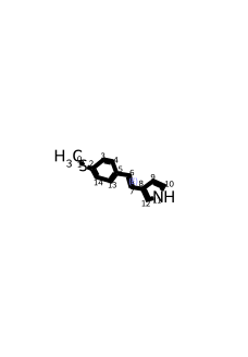 CSc1ccc(/C=C/c2cc[nH]c2)cc1